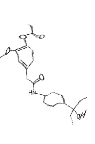 CCC(O)(CC)C1CCC(NC(=O)Cc2ccc(OC(C)=O)c(OC)c2)CC1